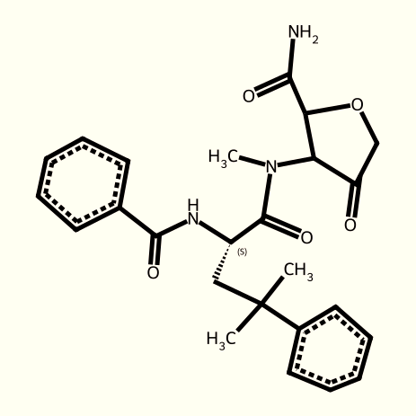 CN(C(=O)[C@H](CC(C)(C)c1ccccc1)NC(=O)c1ccccc1)C1C(=O)COC1C(N)=O